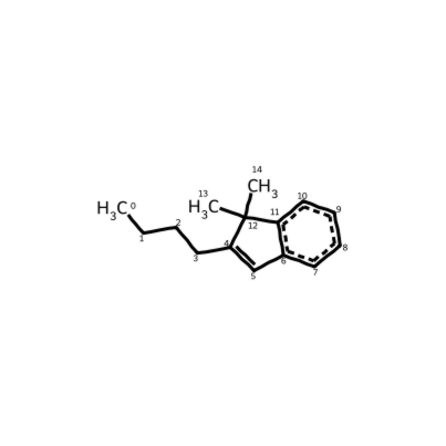 CCCCC1=Cc2ccccc2C1(C)C